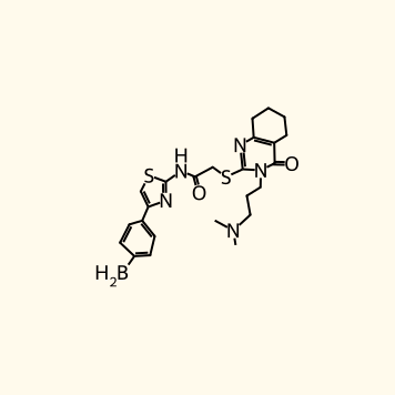 Bc1ccc(-c2csc(NC(=O)CSc3nc4c(c(=O)n3CCCN(C)C)CCCC4)n2)cc1